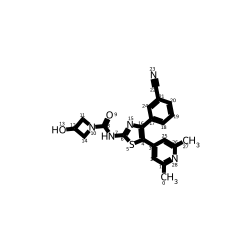 Cc1cc(-c2sc(NC(=O)N3CC(O)C3)nc2-c2cccc(C#N)c2)cc(C)n1